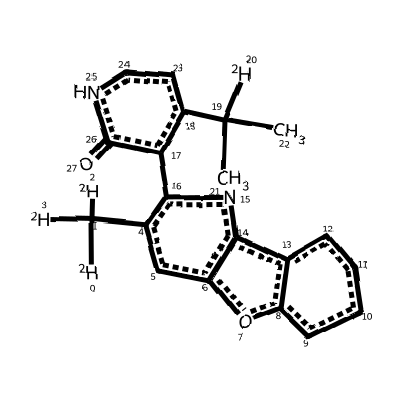 [2H]C([2H])([2H])c1cc2oc3ccccc3c2nc1-c1c(C([2H])(C)C)cc[nH]c1=O